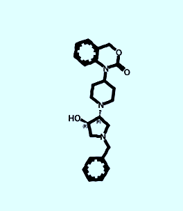 O=C1OCc2ccccc2N1C1CCN([C@@H]2CN(Cc3ccccc3)C[C@H]2O)CC1